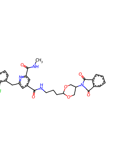 CNC(=O)c1cc(C(=O)NCCCC2OCC(N3C(=O)c4ccccc4C3=O)CO2)cc(Cc2ccccc2Cl)n1